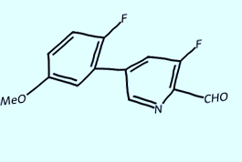 COc1ccc(F)c(-c2cnc(C=O)c(F)c2)c1